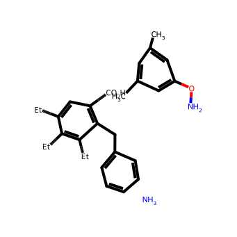 CCc1cc(C(=O)O)c(Cc2ccccc2)c(CC)c1CC.Cc1cc(C)cc(ON)c1.N